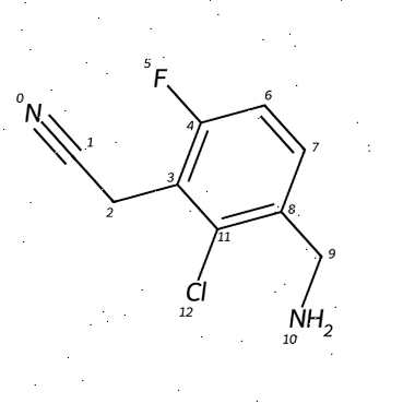 N#CCc1c(F)ccc(CN)c1Cl